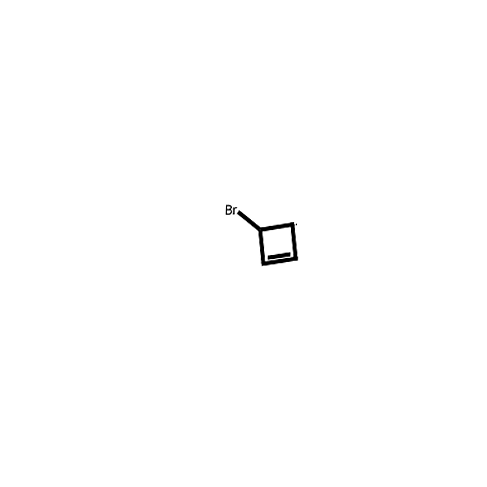 BrC1[CH]C=C1